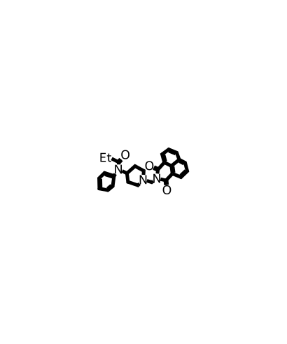 CCC(=O)N(c1ccccc1)C1CCN(CN2C(=O)c3cccc4cccc(c34)C2=O)CC1